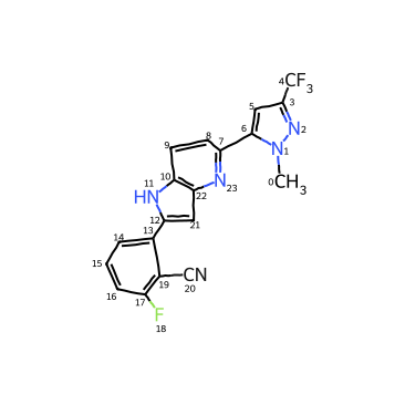 Cn1nc(C(F)(F)F)cc1-c1ccc2[nH]c(-c3cccc(F)c3C#N)cc2n1